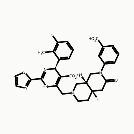 CCOC(=O)C1=C(CN2CC[C@H]3CC(=O)N(c4cccc(C(=O)O)c4)C[C@H]3C2)NC(c2nccs2)=N[C@H]1c1cccc(F)c1C